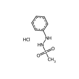 CS(=O)(=O)NNc1ccccc1.Cl